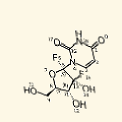 O=c1ccn([C@]2(F)O[C@H](CO)[C@@H](O)[C@]2(O)F)c(=O)[nH]1